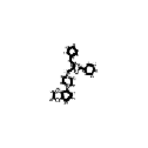 c1ccc(Cc2nc(C3CCCCC3)oc2CN2CCN(c3cccc4c3OCCO4)CC2)cc1